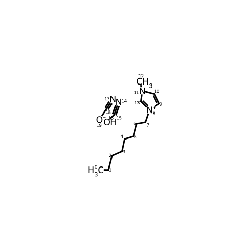 CCCCCCCC[n+]1ccn(C)c1.N#CO.N#C[O-]